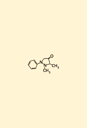 CC1C(=O)CN(c2ccccc2)N1C